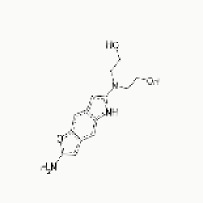 Nc1cc2cc3[nH]c(N(CCO)CCO)cc3cc2o1